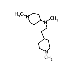 CN1CCC(CCN(C)C2CCN(C)CC2)CC1